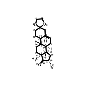 C[C@]12CC[C@H]3[C@@H](CC=C4CC5(CC[C@@H]43)OCCO5)[C@@H]1C[C@H](Br)C2=O